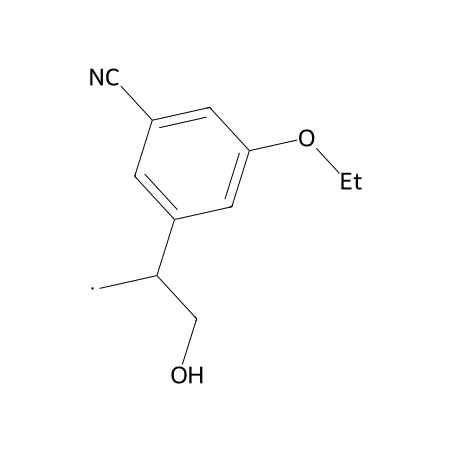 [CH2]C(CO)c1cc(C#N)cc(OCC)c1